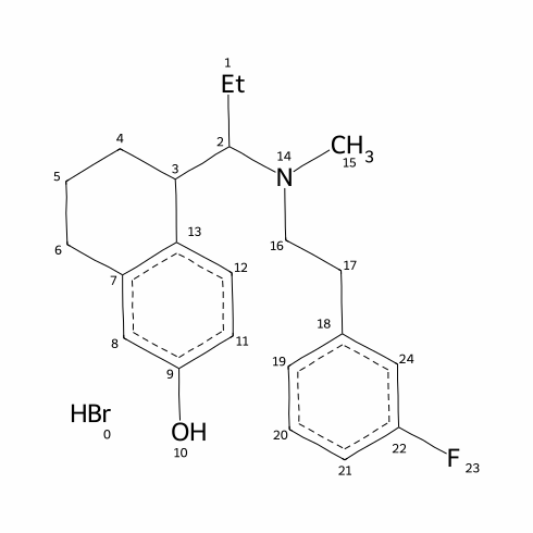 Br.CCC(C1CCCc2cc(O)ccc21)N(C)CCc1cccc(F)c1